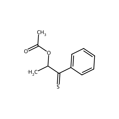 [CH2]C(OC(C)=O)C(=S)c1ccccc1